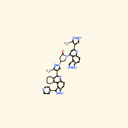 O=C1CC(n2cc(-c3nc4ccc5[nH]nc(-c6ccncc6)c5c4c4c3CCCC4)c(C(F)(F)F)n2)CN1c1cc(-c2c[nH]nc2C(F)(F)F)nc2ccc3[nH]ncc3c12